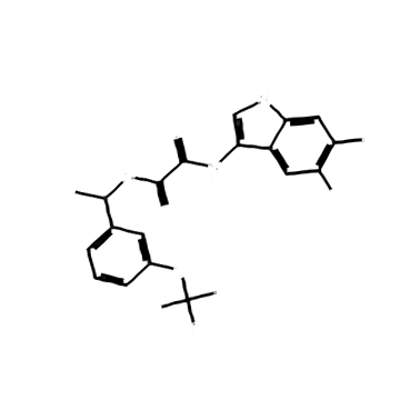 CC(NC(=O)C(=O)Nc1c[nH]c2cc(F)c(F)cc12)c1cccc(OC(F)(F)F)c1